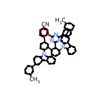 Cc1cccc(-c2ccc3c(c2)c2ccccc2n3-c2ccc(-c3ccc(C#N)cc3)cc2-c2cccc(-n3c4ccccc4c4cc(-c5cccc(C)c5)ccc43)c2-c2nc(-c3ccccc3)nc(-c3ccccc3)n2)c1